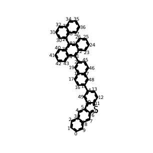 c1ccc2cc3c(cc2c1)sc1ccc(-c2ccc4cc(-c5c6ccccc6c(-c6cccc7ccccc67)c6ccccc56)ccc4c2)cc13